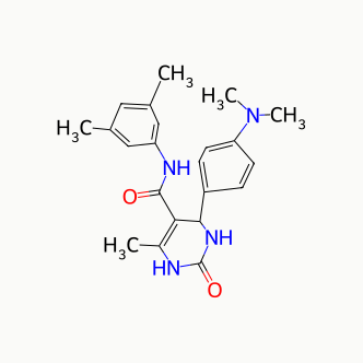 CC1=C(C(=O)Nc2cc(C)cc(C)c2)C(c2ccc(N(C)C)cc2)NC(=O)N1